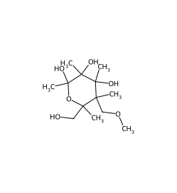 COCC1(C)C(C)(CO)OC(C)(O)C(C)(O)C1(C)O